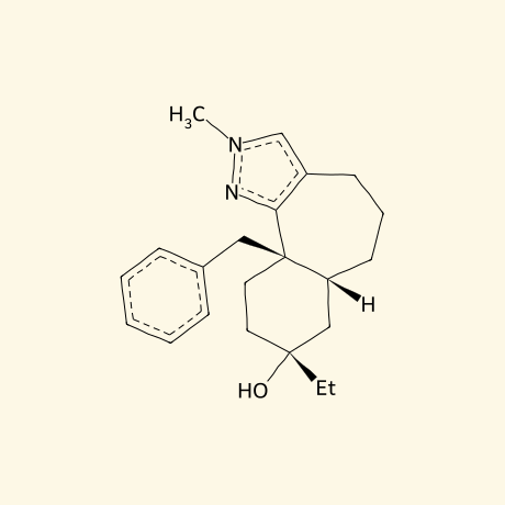 CC[C@@]1(O)CC[C@]2(Cc3ccccc3)c3nn(C)cc3CCC[C@@H]2C1